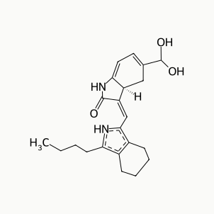 CCCCc1[nH]c(/C=C2\C(=O)NC3=CC=C(C(O)O)C[C@H]32)c2c1CCCC2